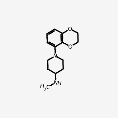 CNC1CCN(c2cccc3c2OCCO3)CC1